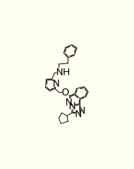 c1ccc(CCNCc2cccc(COc3nn4c(C5CCCC5)nnc4c4ccccc34)n2)cc1